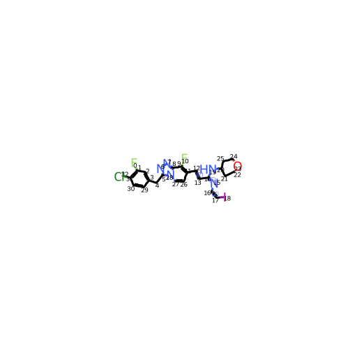 Fc1cc(Cc2nnc3c(F)c(/C=C/C(=N\C=C/I)NC4CCOCC4)ccn23)ccc1Cl